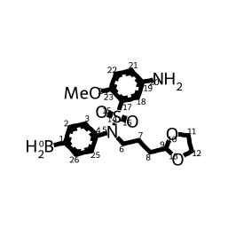 Bc1ccc(N(CCCC2OCCO2)S(=O)(=O)c2cc(N)ccc2OC)cc1